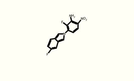 Nc1c([N+](=O)[O-])ccc(-n2cc3ccc(F)cc3c2)c1F